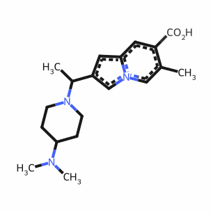 Cc1cn2cc(C(C)N3CCC(N(C)C)CC3)cc2cc1C(=O)O